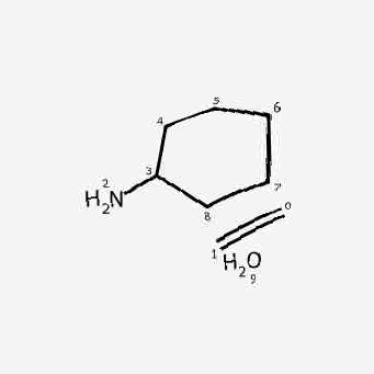 C=C.NC1CCCCC1.O